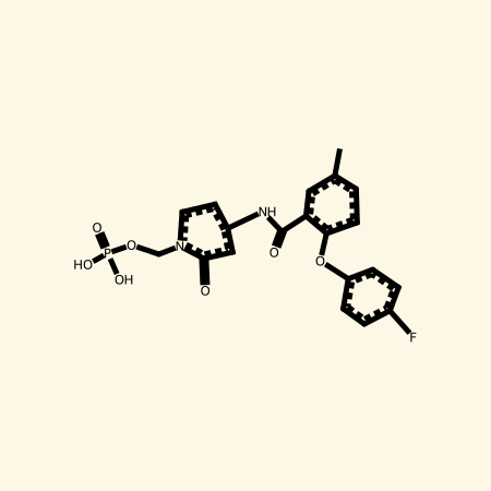 Cc1ccc(Oc2ccc(F)cc2)c(C(=O)Nc2ccn(COP(=O)(O)O)c(=O)c2)c1